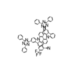 N#Cc1ccc(-n2c3ccccc3c3cc(-c4nc(-c5ccccc5)nc(-c5ccccc5)n4)ccc32)c(-c2cc(-c3ccc(C(F)(F)F)cc3C#N)ccc2-n2c3ccccc3c3cc(-c4nc(-c5ccccc5)nc(-c5ccccc5)n4)ccc32)c1